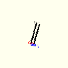 CCC=CCC=CCC=CCC=CCC=CCCCC(N)=O.CCC=CCC=CCC=CCC=CCC=CCCCC(N)=O